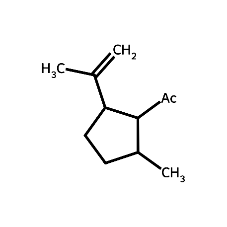 C=C(C)C1CCC(C)C1C(C)=O